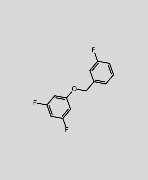 Fc1cccc(COc2cc(F)cc(F)c2)c1